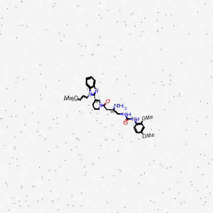 COCCCn1c([C@@H]2CCCN(C(=O)C[C@@H](N)CNC(=O)Nc3ccc(OC)cc3OC)C2)nc2ccccc21